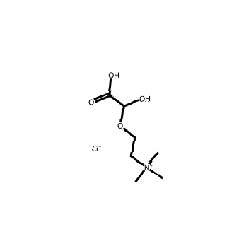 C[N+](C)(C)CCOC(O)C(=O)O.[Cl-]